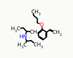 C=Cc1ccccc1OCCCC.CCC(C)NC(C)CC